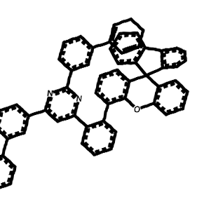 C1=CC(c2cccc(-c3nc(-c4cccc(-c5ccccc5)c4)cc(-c4ccccc4-c4cccc5c4Oc4ccccc4C54c5ccccc5-c5ccccc54)n3)c2)=CCC1